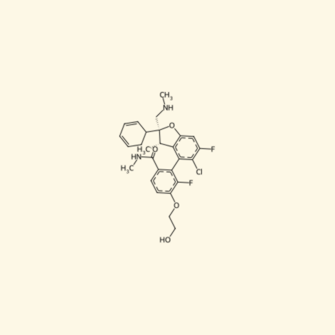 CNC[C@]1(C2C=CC=CC2)Oc2cc(F)c(Cl)c(-c3c(C(=O)NC)ccc(OCCO)c3F)c2[C@@H]1C